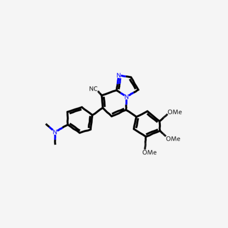 COc1cc(-c2cc(-c3ccc(N(C)C)cc3)c(C#N)c3nccn23)cc(OC)c1OC